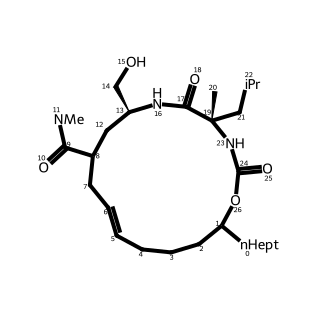 CCCCCCCC1CCC/C=C/CC(C(=O)NC)C[C@@H](CO)NC(=O)[C@](C)(CC(C)C)NC(=O)O1